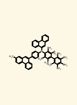 Bc1c(B)c(B)c(-c2c(B)c(B)c(N(c3ccc(-c4cc5cc(C)ccc5c5ccccc45)cc3)c3cc4ccccc4c4ccccc34)c(B)c2B)c(B)c1B